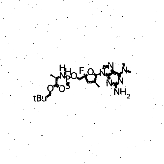 C[C@@H](N[PH](=S)OC[C@]1(F)C[C@H](C)[C@H](n2cnc3c(N(C)C)nc(N)nc32)O1)C(=O)OCC(C)(C)C